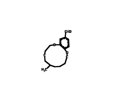 CC1CCCCOc2ccc(C=O)cc2OCCCC1